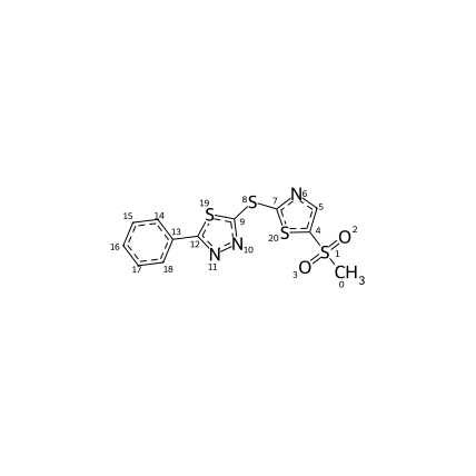 CS(=O)(=O)c1cnc(Sc2nnc(-c3ccccc3)s2)s1